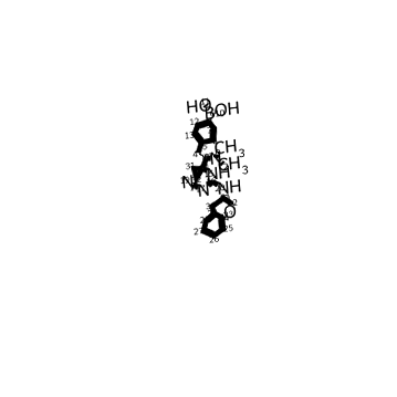 CN(C)[C@@H](Cc1ccc(B(O)O)cc1)C1(NC(=NC#N)N[C@@H]2COc3ccccc3C2)CC1